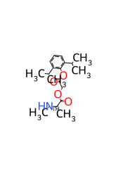 CN[C@@H](C)C(=O)OCC(=O)Oc1c(C(C)C)cccc1C(C)C